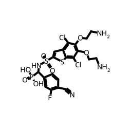 N#Cc1ccc(C(NS(=O)(=O)c2cc3c(Cl)c(OCCN)c(OCCN)c(Cl)c3s2)P(=O)(O)O)cc1F